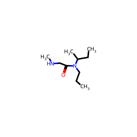 CCCN(C(=O)CNC)C(C)CC